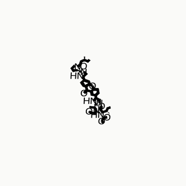 CC[C@H](C)CC(=O)N1CCC[C@H]1C1=NCC(c2ccc3c(=O)c4cc(C5CN=C([C@@H]6COCCN6C(=O)[C@@H](NC(=O)OC)[C@@H](C)CC)N5)ccc4oc3c2)N1